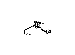 CCCCC/C=C\C/C=C\CCCCCCCCOC(=O)C(CCN(C)C)C(=O)OCCCCCCCC/C=C\C/C=C\CCCCC